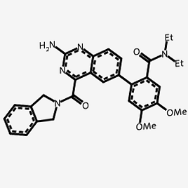 CCN(CC)C(=O)c1cc(OC)c(OC)cc1-c1ccc2nc(N)nc(C(=O)N3Cc4ccccc4C3)c2c1